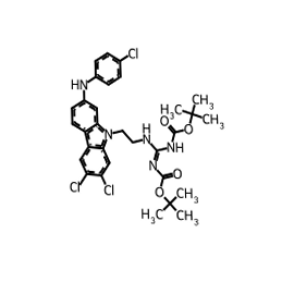 CC(C)(C)OC(=O)N=C(NCCn1c2cc(Nc3ccc(Cl)cc3)ccc2c2cc(Cl)c(Cl)cc21)NC(=O)OC(C)(C)C